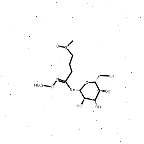 C[S+]([O-])CCC/C(=N/OS(=O)(=O)O)S[C@@H]1O[C@H](CO)[C@@H](O)[C@H](O)[C@H]1O